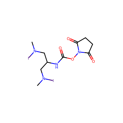 CN(I)CC(CN(C)I)NC(=O)ON1C(=O)CCC1=O